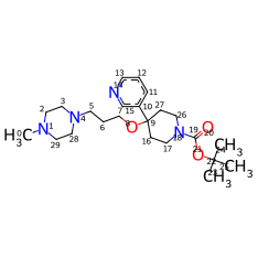 CN1CCN(CCCOC2(c3cccnc3)CCN(C(=O)OC(C)(C)C)CC2)CC1